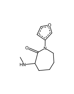 CNC1CCCCN(c2ccoc2)C1=O